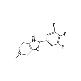 CN1CCC2=C(C1)OC(c1cc(F)c(F)c(F)c1)N2